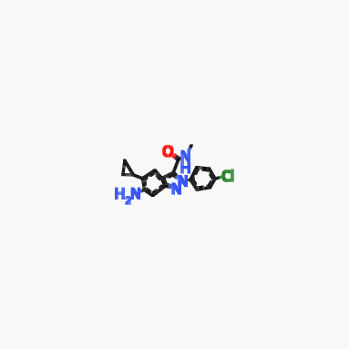 CNC(=O)c1c2cc(C3CC3)c(N)cc2nn1-c1ccc(Cl)cc1